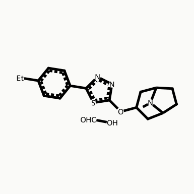 CCc1ccc(-c2nnc(OC3CC4CCC(C3)N4C)s2)cc1.O=CO